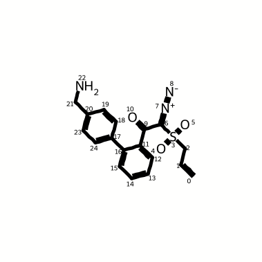 C=CCS(=O)(=O)C(=[N+]=[N-])C(=O)c1ccccc1-c1ccc(CN)cc1